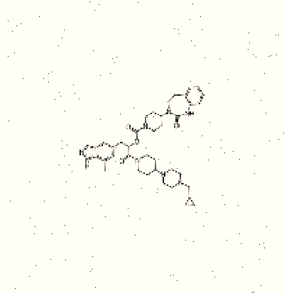 Cc1cc(CC(OC(=O)N2CCC(N3CCc4ccccc4NC3=O)CC2)C(=O)N2CCC(N3CCN(CC4CC4)CC3)CC2)cc2cn[nH]c12